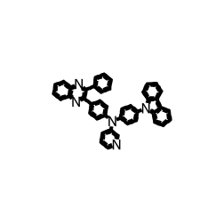 c1ccc(-c2nc3ccccc3nc2-c2ccc(N(c3ccc(-n4c5ccccc5c5ccccc54)cc3)c3cccnc3)cc2)cc1